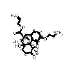 C=CCOC(=O)N1CC[C@]23c4c5ccc(OCCC)c4O[C@H]2C(=O)CCC3(O)[C@H]1C5